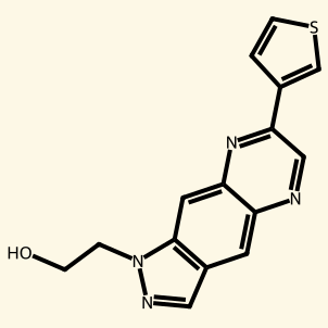 OCCn1ncc2cc3ncc(-c4ccsc4)nc3cc21